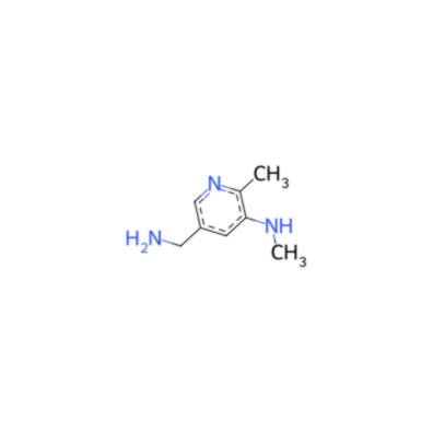 CNc1cc(CN)cnc1C